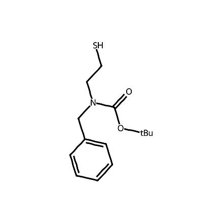 CC(C)(C)OC(=O)N(CCS)Cc1ccccc1